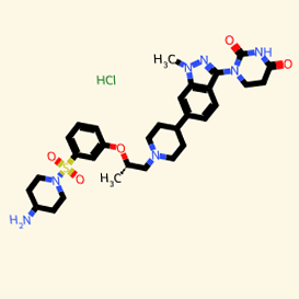 C[C@@H](CN1CCC(c2ccc3c(N4CCC(=O)NC4=O)nn(C)c3c2)CC1)Oc1cccc(S(=O)(=O)N2CCC(N)CC2)c1.Cl